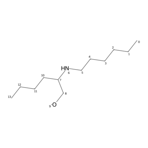 CCCCCCNC(C[O])CCCC